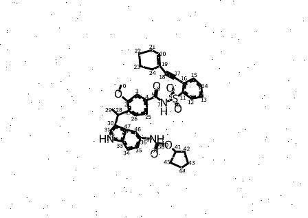 COc1cc(C(=O)NS(=O)(=O)c2ccccc2C#CC2=CCCCC2)ccc1C(C)c1c[nH]c2ccc(NC(=O)OC3CCCC3)cc12